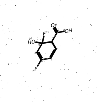 O=C(O)C1C=CC(F)=CC1(O)F